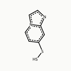 SSc1ccn2ccnc2c1